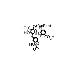 CC(=O)C(=O)O.CC(C)(C)OC(=O)C(C(=O)O)[C@H](O)[C@@H](N)Cc1ccccc1.CCCCCOc1ccc(C(=O)O)c(F)c1